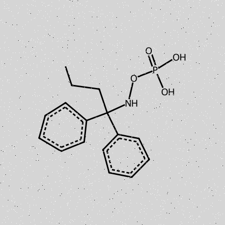 CCCC(NOP(=O)(O)O)(c1ccccc1)c1ccccc1